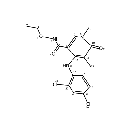 CCONC(=O)c1cn(C)c(=O)c(C)c1Nc1ccc(Cl)cc1Cl